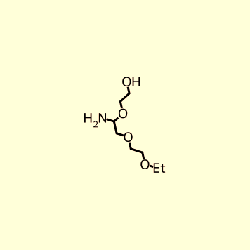 CCOCCOCC(N)OCCO